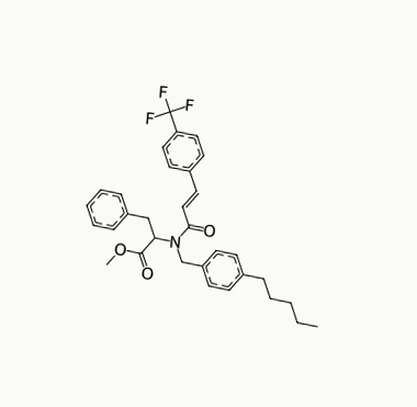 CCCCCc1ccc(CN(C(=O)C=Cc2ccc(C(F)(F)F)cc2)C(Cc2ccccc2)C(=O)OC)cc1